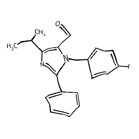 CC(C)c1nc(-c2ccccc2)n(-c2ccc(F)cc2)c1C=O